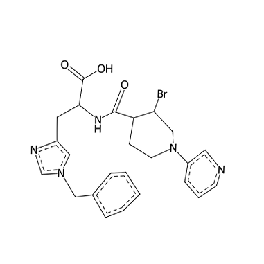 O=C(O)C(Cc1cn(Cc2ccccc2)cn1)NC(=O)C1CCN(c2cccnc2)CC1Br